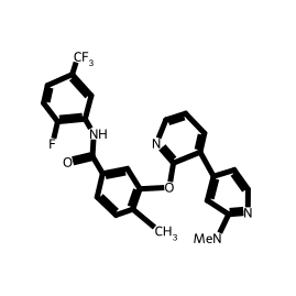 CNc1cc(-c2cccnc2Oc2cc(C(=O)Nc3cc(C(F)(F)F)ccc3F)ccc2C)ccn1